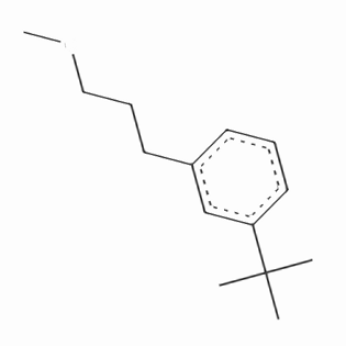 COCCCc1cccc(C(C)(C)C)c1